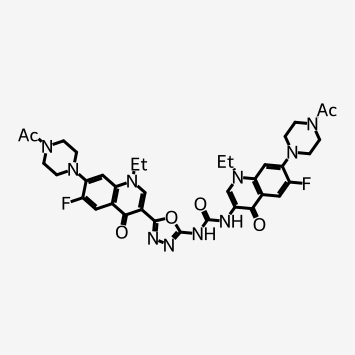 CCn1cc(NC(=O)Nc2nnc(-c3cn(CC)c4cc(N5CCN(C(C)=O)CC5)c(F)cc4c3=O)o2)c(=O)c2cc(F)c(N3CCN(C(C)=O)CC3)cc21